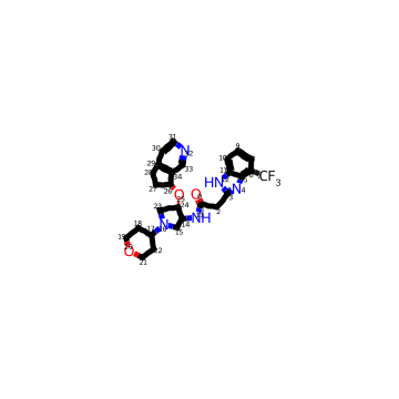 O=C(Cc1nc2c(C(F)(F)F)cccc2[nH]1)NC1CN(C2CCOCC2)C[C@@H]1OC1CCc2ccncc21